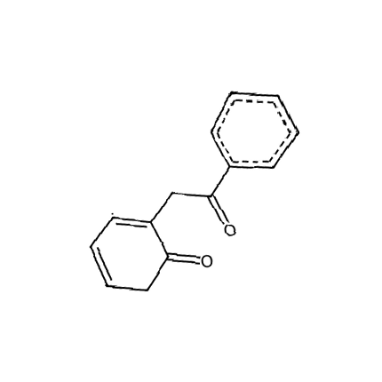 O=C1CC=C[C]=C1CC(=O)c1ccccc1